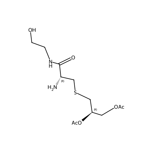 CC(=O)OC[C@H](CSC[C@H](N)C(=O)NCCO)OC(C)=O